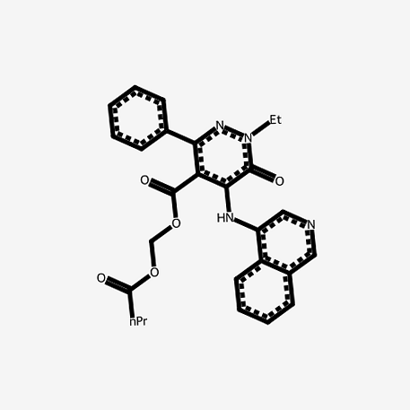 CCCC(=O)OCOC(=O)c1c(-c2ccccc2)nn(CC)c(=O)c1Nc1cncc2ccccc12